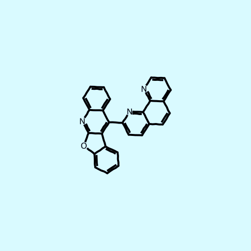 c1cnc2c(c1)ccc1ccc(-c3c4ccccc4nc4oc5ccccc5c34)nc12